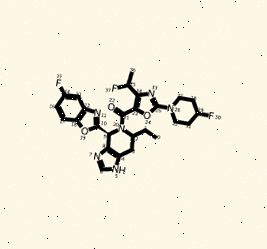 CCC1Cc2[nH]cnc2[C@@H](c2nc3cc(F)ccc3o2)N1C(=O)c1oc(N2CCC(F)CC2)nc1C(C)F